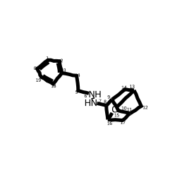 c1ccc(CCNNC2C3CC4CC(C3)CC2C4)cc1